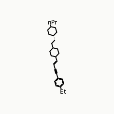 CCC[C@H]1CC[C@H](CCC2CCC(/C=C/C#Cc3ccc(CC)cc3)CC2)CC1